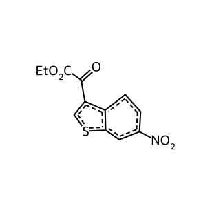 CCOC(=O)C(=O)c1csc2cc([N+](=O)[O-])ccc12